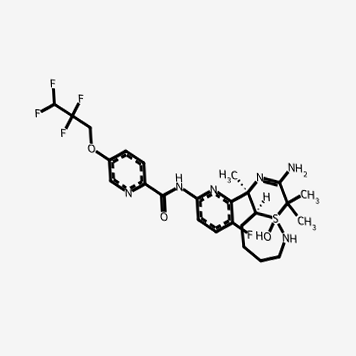 CC1(C)C(N)=N[C@](C)(c2nc(NC(=O)c3ccc(OCC(F)(F)C(F)F)cn3)ccc2F)[C@@H]2CCCCNS21O